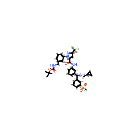 CC(C)(C)OC(=O)NCc1cccc(-n2nc(C(F)(F)F)cc2C(=O)Nc2cccc(C(NCC3CC3)c3cccc(S(C)(=O)=O)c3)c2)c1